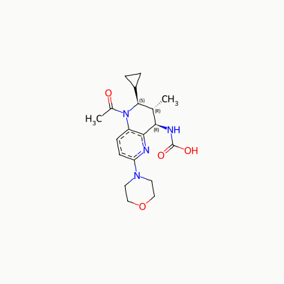 CC(=O)N1c2ccc(N3CCOCC3)nc2[C@H](NC(=O)O)[C@@H](C)[C@@H]1C1CC1